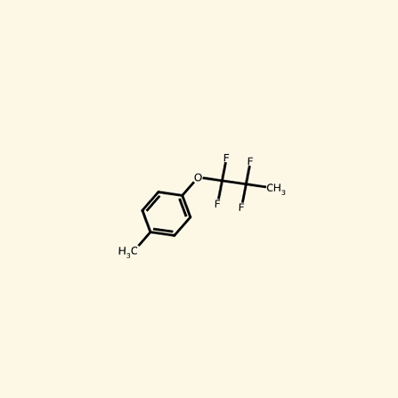 Cc1ccc(OC(F)(F)C(C)(F)F)cc1